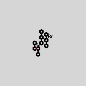 Brc1ccccc1-c1ccc(-c2ccccc2)cc1-c1cc(-c2ccccc2)ccc1-c1cccc(N(c2ccc(-c3ccccc3)cc2)c2ccccc2-c2ccccc2)c1